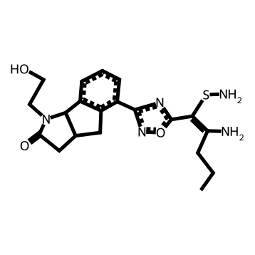 CCC/C(N)=C(/SN)c1nc(-c2cccc3c2CC2CC(=O)N(CCO)C32)no1